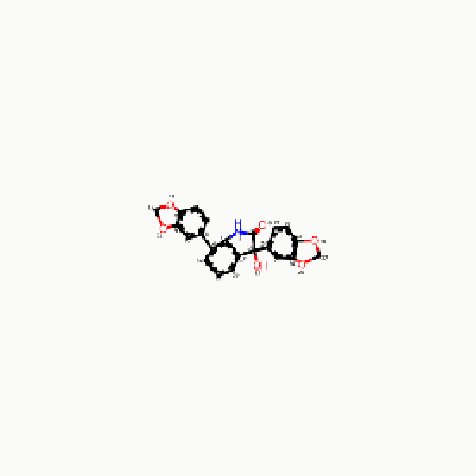 O=C1Nc2c(-c3ccc4c(c3)OCO4)cccc2C1(O)c1ccc2c(c1)OCO2